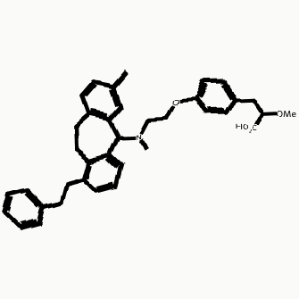 COC(Cc1ccc(OCCN(C)C2c3cc(C)ccc3CCc3c(CCc4ccccc4)cccc32)cc1)C(=O)O